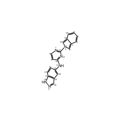 c1ccc2cn(-c3nccc(Nc4ccc5[nH]ncc5c4)n3)cc2c1